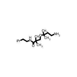 CC(C)CCNC(=O)C(C)(C)COC(C)(C)CCN